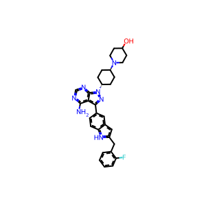 Nc1ncnc2c1c(-c1ccc3[nH]c(Cc4ccccc4F)cc3c1)nn2[C@H]1CC[C@H](N2CCC(O)CC2)CC1